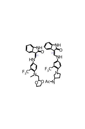 CC(=O)N(C)C1CCN(c2ccc(N/C=C3\C(=O)Nc4ccccc43)cc2C(F)(F)F)C1.CN(CC1OCCO1)c1ccc(N/C=C2/C(=O)Nc3ccccc32)cc1C(F)(F)F